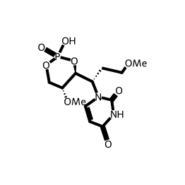 COCC[C@@H]([C@@H]1OP(=O)(O)OC[C@H]1OC)n1ccc(=O)[nH]c1=O